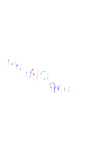 Cn1cc(-c2cccc(N3CCN([C@@H]4CCN(C#N)C4)S3(=O)=O)c2)cn1